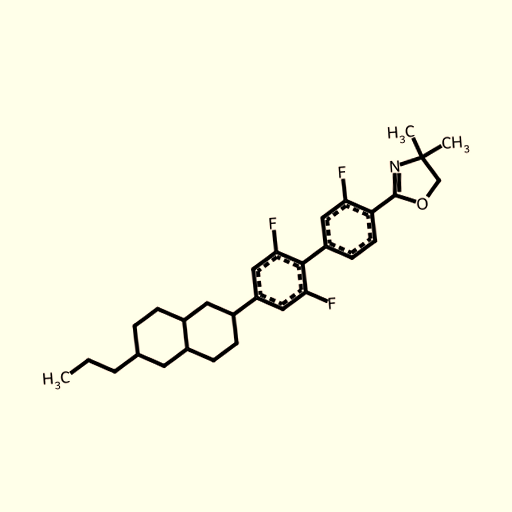 CCCC1CCC2CC(c3cc(F)c(-c4ccc(C5=NC(C)(C)CO5)c(F)c4)c(F)c3)CCC2C1